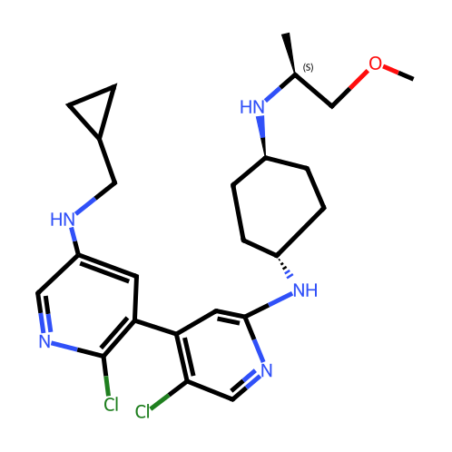 COC[C@H](C)N[C@H]1CC[C@H](Nc2cc(-c3cc(NCC4CC4)cnc3Cl)c(Cl)cn2)CC1